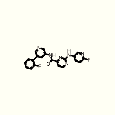 O=C(Nc1cncc(-c2ccccc2F)c1)c1ccnc(Nc2ccc(F)nc2)n1